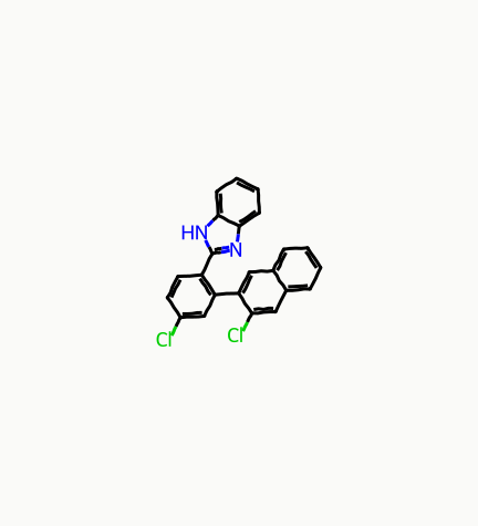 Clc1ccc(-c2nc3ccccc3[nH]2)c(-c2cc3ccccc3cc2Cl)c1